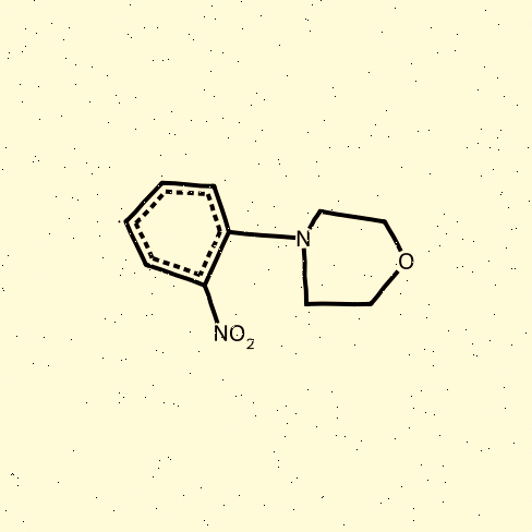 O=[N+]([O-])c1c[c]ccc1N1CCOCC1